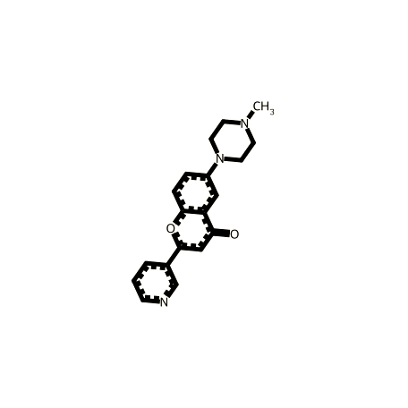 CN1CCN(c2ccc3oc(-c4cccnc4)cc(=O)c3c2)CC1